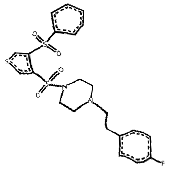 O=S(=O)(c1ccccc1)c1cscc1S(=O)(=O)N1CCN(CCc2ccc(F)cc2)CC1